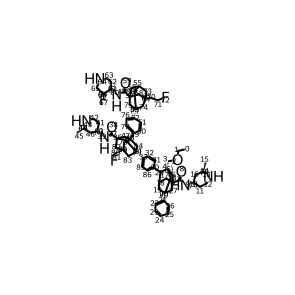 CCOC[C@]12CC3(C(=O)N[C@H]4CCN[C@H](C)C4)CC(C[C@](c4ccccc4)(C3)C1)C2c1ccc([C@@]23CC4(C(=O)N[C@H]5CCN[C@H](C)C5)CC(c5ccc([C@]67CC8CC(C(=O)N[C@H]9CCNC[C@@H]9F)(C[C@](CCF)(C8)C6)C7)cc5)(C[C@@](CF)(C4)C2)C3)cc1